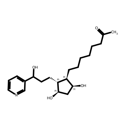 CC(=O)CCCCCC[C@@H]1[C@@H](CCC(O)c2cccnc2)[C@H](O)C[C@@H]1O